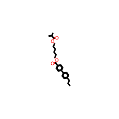 C=C(C)C(=O)OCCCCCCOC(=O)c1ccc(-c2ccc(CCC)cc2)cc1